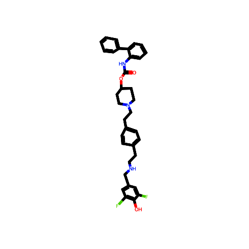 O=C(Nc1ccccc1-c1ccccc1)OC1CCN(CCc2ccc(CCNCc3cc(F)c(O)c(F)c3)cc2)CC1